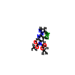 CC(C)(C)OC(=O)N(C(=O)OC(C)(C)C)c1cnc(-n2nccc2Br)c(Cl)c1